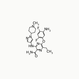 CCc1nc(C(N)=O)c(Nc2cnn(C3CCN(C)CC3)c2)nc1Oc1cc(N)c(F)cc1F